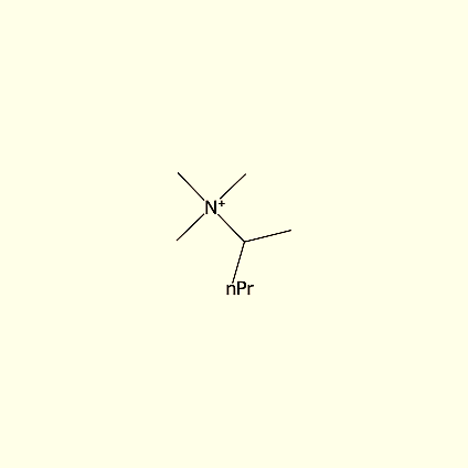 [CH2]CCC(C)[N+](C)(C)C